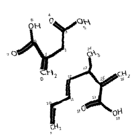 C=C(CC(=O)O)C(=O)O.C=CC=CC(C)C(=C)C(=O)O